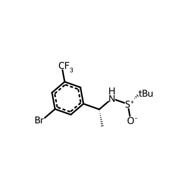 C[C@@H](N[S@@+]([O-])C(C)(C)C)c1cc(Br)cc(C(F)(F)F)c1